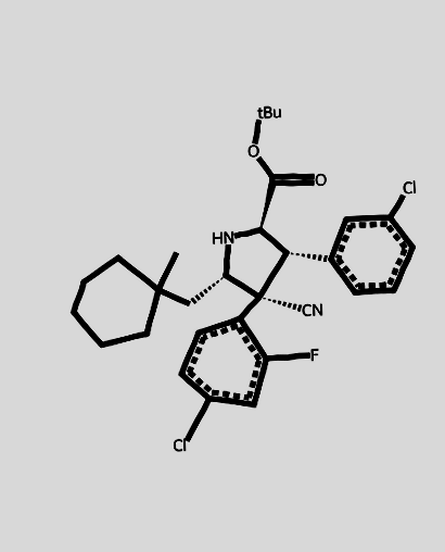 CC1(C[C@@H]2N[C@@H](C(=O)OC(C)(C)C)[C@H](c3cccc(Cl)c3)[C@@]2(C#N)c2ccc(Cl)cc2F)CCCCC1